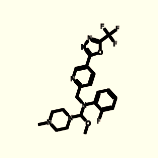 COC(N1CCN(C)CC1)N(Cc1ccc(-c2nnc(C(F)(F)F)o2)cn1)c1ccccc1F